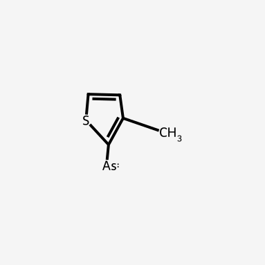 Cc1ccsc1[As]